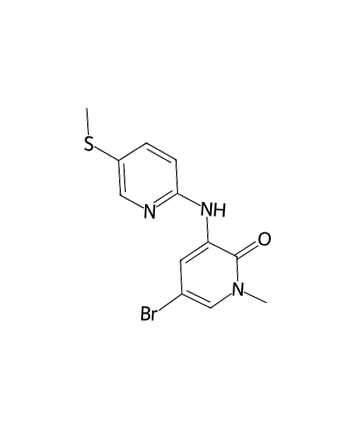 CSc1ccc(Nc2cc(Br)cn(C)c2=O)nc1